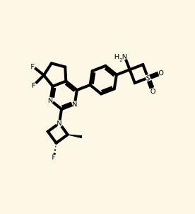 C[C@H]1[C@H](F)CN1c1nc(-c2ccc(C3(N)CS(=O)(=O)C3)cc2)c2c(n1)C(F)(F)CC2